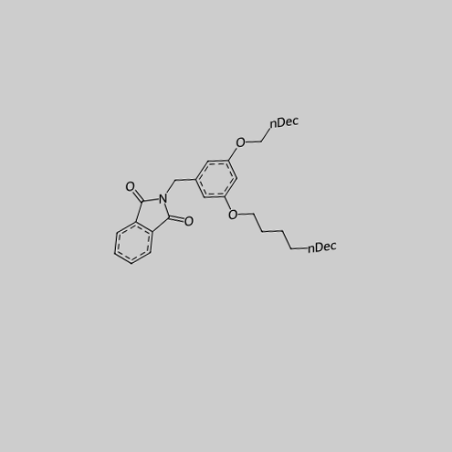 CCCCCCCCCCCCCCOc1cc(CN2C(=O)c3ccccc3C2=O)cc(OCCCCCCCCCCC)c1